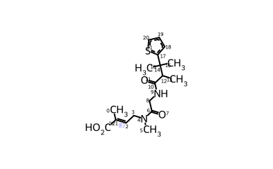 C/C(=C\CN(C)C(=O)CNC(=O)C(C)C(C)(C)c1cccs1)C(=O)O